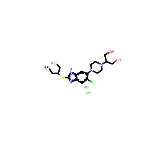 CCC(CC)Sc1nc2cc(Cl)c(N3CCN(C(CO)CO)CC3)cc2[nH]1.Cl.Cl